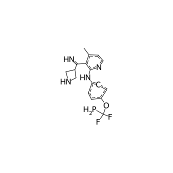 Cc1ccnc(Nc2ccc(OC(F)(F)P)cc2)c1C(=N)C1CNC1